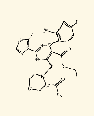 CCOC(=O)C1=C(CN2CCOC[C@H]2C(=O)O)NC(c2ncoc2C)=N[C@H]1c1ccc(F)cc1Br